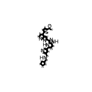 CC(=O)c1ccc(-c2ccnc3[nH]c(-c4n[nH]c5ccc(-c6cncc(CNCC7CCCC7)c6)nc45)cc23)s1